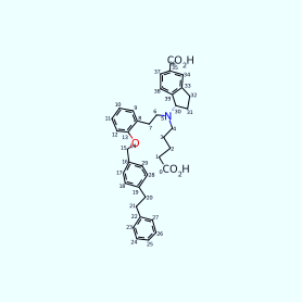 O=C(O)CCCCN(CCc1ccccc1OCc1ccc(CCc2ccccc2)cc1)[C@H]1CCc2cc(C(=O)O)ccc21